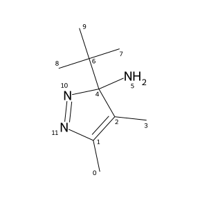 CC1=C(C)C(N)(C(C)(C)C)N=N1